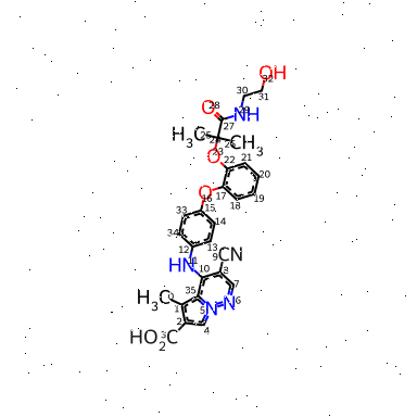 Cc1c(C(=O)O)cn2ncc(C#N)c(Nc3ccc(Oc4ccccc4OC(C)(C)C(=O)NCCO)cc3)c12